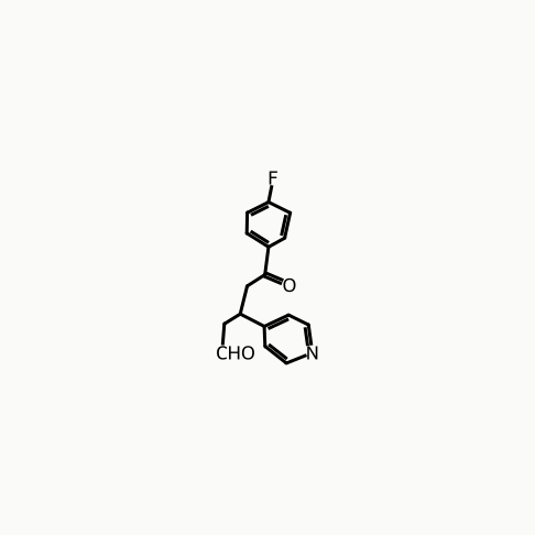 O=CCC(CC(=O)c1ccc(F)cc1)c1ccncc1